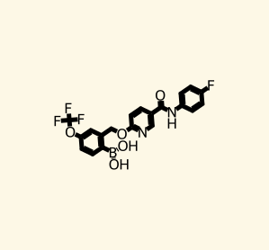 O=C(Nc1ccc(F)cc1)c1ccc(OCc2cc(OC(F)(F)F)ccc2B(O)O)nc1